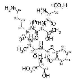 CC(C)N(C(=O)[C@@H](NC(=O)[C@@H](N)CC(=O)O)[C@@H](C)O)[C@@H](CCCCN)C(=O)N[C@@H](C)C(=O)N[C@@H](Cc1ccccc1)C(=O)N[C@@H](CO)C(=O)O